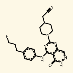 N#CCC1CCN(c2nc(Nc3ccc(CCCF)cc3)c3c(=O)[nH]ncc3n2)CC1